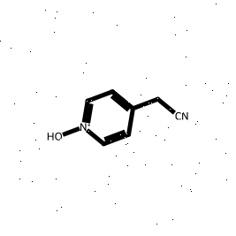 N#CCc1cc[n+](O)cc1